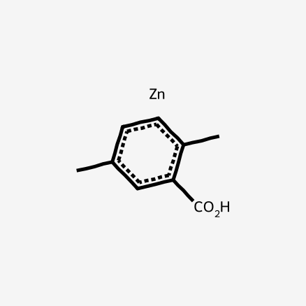 Cc1ccc(C)c(C(=O)O)c1.[Zn]